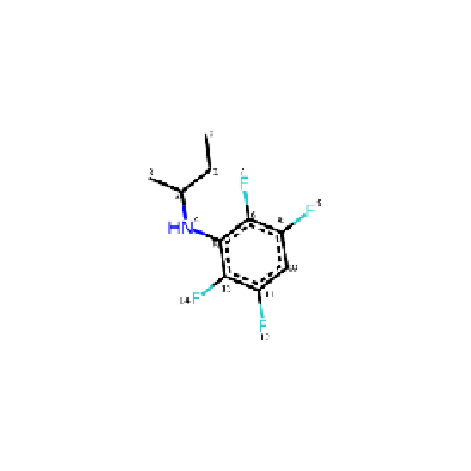 CCC(C)Nc1c(F)c(F)cc(F)c1F